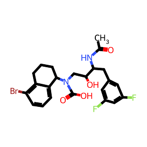 CC(=O)NC(Cc1cc(F)cc(F)c1)C(O)CN(C(=O)O)C1CCCc2c(Br)cccc21